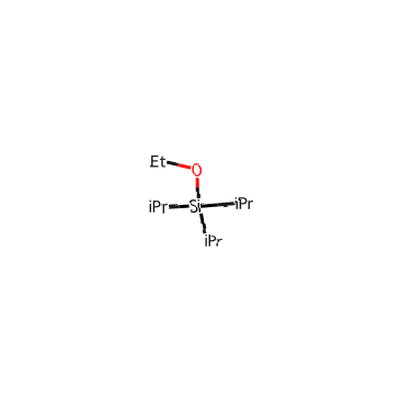 CCO[Si](C(C)C)(C(C)C)C(C)C